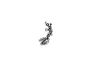 CCOc1cc(-c2ccc(F)cc2)c(C2CC2)cc1CN1CCN(C(=O)Oc2ccc(C(=O)NC[C@H](O)[C@@H](O)[C@H](O)[C@H](O)CO)cc2)CC1